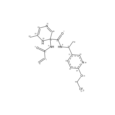 C=CC(=O)NC1(C(=O)NC(C)c2ccc(OCC(F)(F)F)nc2)C=NC=C(C)N1